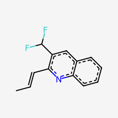 C/C=C/c1nc2ccccc2cc1C(F)F